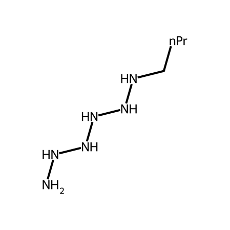 CCCCNNNNNN